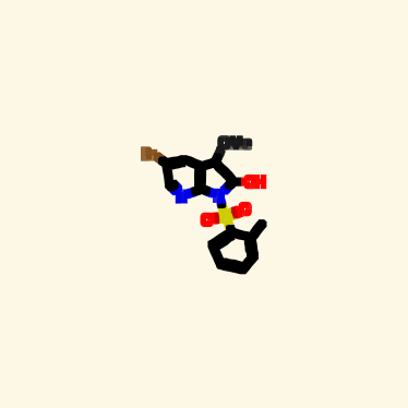 COC1c2cc(Br)cnc2N(S(=O)(=O)c2ccccc2C)C1O